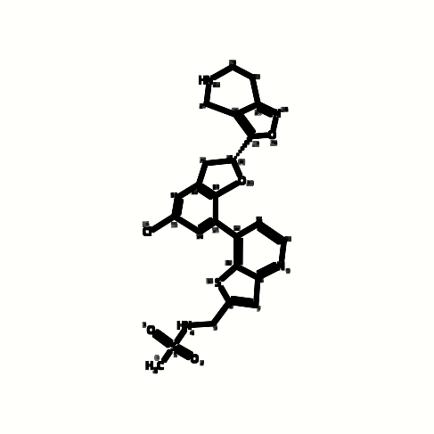 CS(=O)(=O)NCc1cc2nccc(-c3cc(Cl)cc4c3O[C@@H](c3onc5c3CNCC5)C4)c2s1